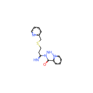 N=C(CCSCc1ccccn1)N(N)C(=O)c1ccccn1